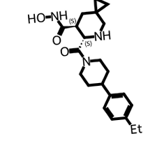 CCc1ccc(C2CCN(C(=O)[C@H]3NCC4(CC4)C[C@@H]3C(=O)NO)CC2)cc1